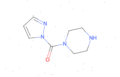 O=C(N1CCNCC1)n1cc[c]n1